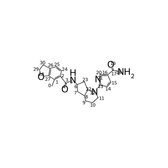 Cc1c(C(=O)NC2CC3CCCN(c4ccc(C(N)=O)cn4)C3C2)ccc2c1OCC2